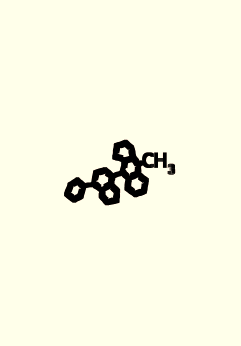 Cc1c2ccccc2c(-c2ccc(-c3ccccc3)c3ccccc23)c2ccccc12